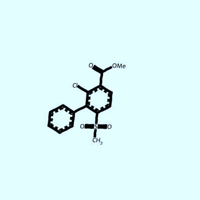 COC(=O)c1ccc(S(C)(=O)=O)c(-c2ccccc2)c1Cl